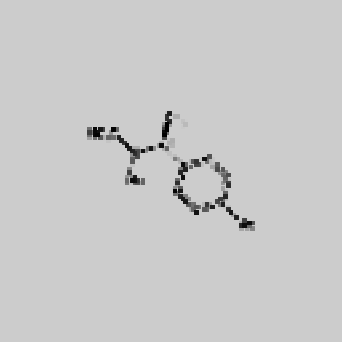 CC(=O)c1ccc([C@H](C)N(C(=O)O)C(C)(C)C)cc1